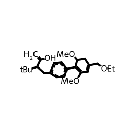 C=C(O)C(Cc1ccc(C2=C(OC)C=C(COCC)CC2OC)cc1)C(C)(C)C